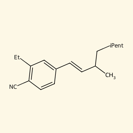 CCCC(C)CC(C)/C=C/c1ccc(C#N)c(CC)c1